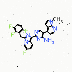 Cn1ccc2c(-c3cnc(-c4nc(Cc5c(F)ccc(F)c5F)n5cc(F)ccc45)nc3N)ccnc21